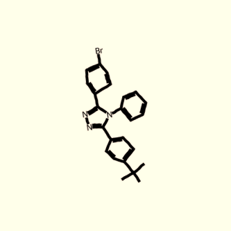 CC(C)(C)c1ccc(-c2nnc(-c3ccc(Br)cc3)n2-c2ccccc2)cc1